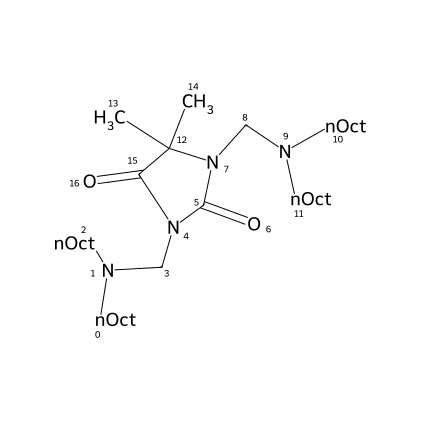 CCCCCCCCN(CCCCCCCC)CN1C(=O)N(CN(CCCCCCCC)CCCCCCCC)C(C)(C)C1=O